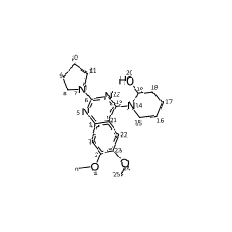 COc1cc2nc(N3CCCC3)nc(N3CCCCC3O)c2cc1OC